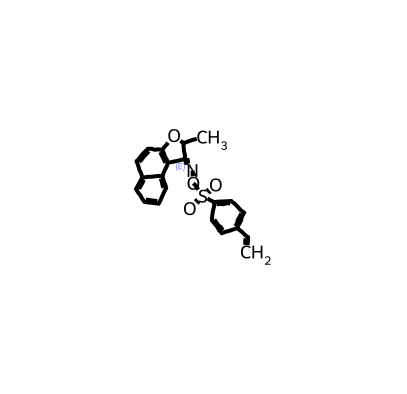 C=Cc1ccc(S(=O)(=O)O/N=C2\c3c(ccc4ccccc34)OC2C)cc1